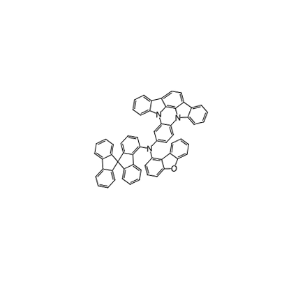 c1ccc2c(c1)-c1ccccc1C21c2ccccc2-c2c(N(c3ccc4c(c3)n3c5ccccc5c5ccc6c7ccccc7n4c6c53)c3cccc4oc5ccccc5c34)cccc21